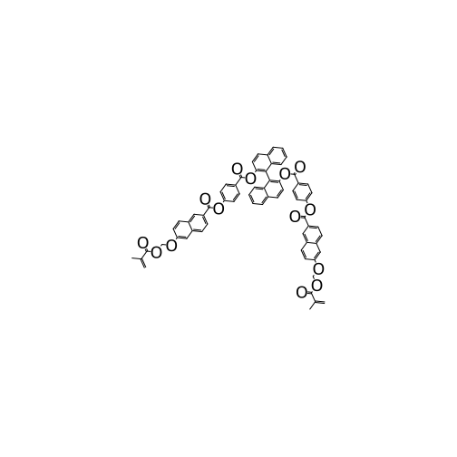 C=C(C)C(=O)OCOc1ccc2cc(C(=O)Oc3ccc(C(=O)Oc4ccc5ccccc5c4-c4c(OC(=O)c5ccc(OC(=O)c6ccc7cc(OCOC(=O)C(=C)C)ccc7c6)cc5)ccc5ccccc45)cc3)ccc2c1